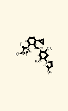 Cc1ccn(-c2cc(C)c(OCc3c(C4CC4)cccc3-n3nnn(C)c3=O)cc2C)n1